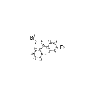 Fc1ccc(C(CCBr)c2ccccc2)cc1